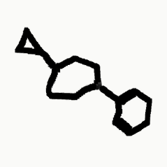 C1=CC(N2CCN(C3CC3)CC2)=CCC1